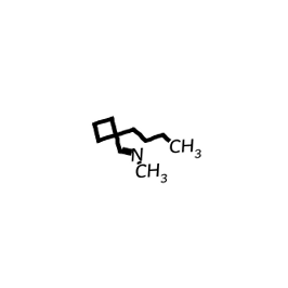 CCCCC1(/C=N/C)CCC1